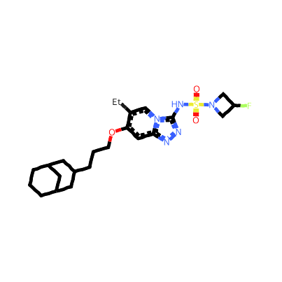 CCc1cn2c(NS(=O)(=O)N3CC(F)C3)nnc2cc1OCCCC1CC2CCCC(C1)C2